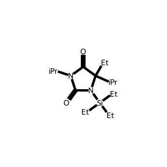 CCC1(C(C)C)C(=O)N(C(C)C)C(=O)N1[Si](CC)(CC)CC